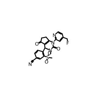 CN1C(=O)N(c2cc(CF)ccn2)C2=C(C(=O)CC2)C1c1ccc(C#N)cc1S(C)(=O)=O